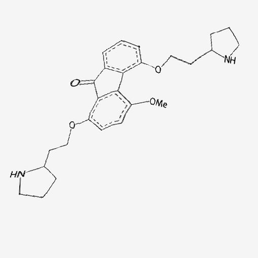 COc1ccc(OCCC2CCCN2)c2c1-c1c(OCCC3CCCN3)cccc1C2=O